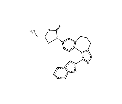 NCC1CN(c2ccc3c(c2)CCCc2cnn(-c4cc5ccccc5o4)c2-3)C(=O)O1